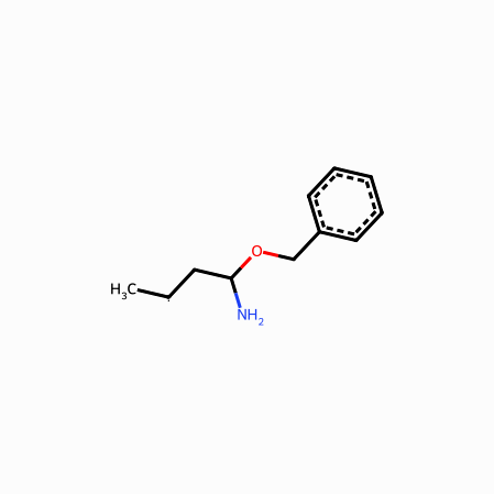 C[CH]CC(N)OCc1ccccc1